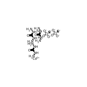 NNC(=O)NN.NNC(=O)NN.NNC(=O)NN.[Cd+2].[O-][Cl+3]([O-])([O-])[O-].[O-][Cl+3]([O-])([O-])[O-]